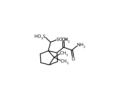 C=C(C(N)=O)C1CC2CCC1(C(S(=O)(=O)O)S(=O)(=O)O)C2(C)C